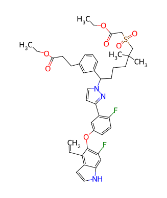 C=Cc1c(Oc2ccc(F)c(-c3ccn(C(CCCC(C)(C)CS(=O)(=O)CC(=O)OCC)c4cccc(CCC(=O)OCC)c4)n3)c2)c(F)cc2[nH]ccc12